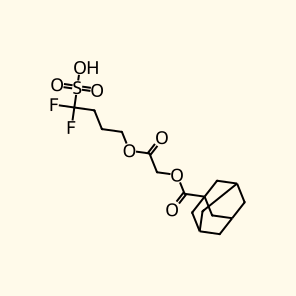 O=C(COC(=O)C12CC3CC(CC(C3)C1)C2)OCCCC(F)(F)S(=O)(=O)O